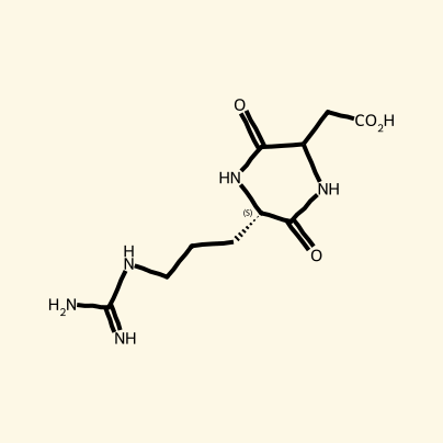 N=C(N)NCCC[C@@H]1NC(=O)C(CC(=O)O)NC1=O